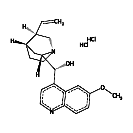 C=C[C@H]1C[N@]2CC[C@H]1C[C@H]2[C@H](O)c1ccnc2ccc(OC)cc12.Cl.Cl